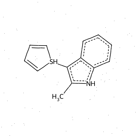 Cc1[nH]c2ccccc2c1[SH]1C=CC=C1